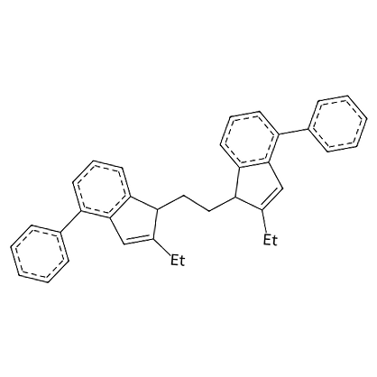 CCC1=Cc2c(-c3ccccc3)cccc2C1CCC1C(CC)=Cc2c(-c3ccccc3)cccc21